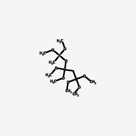 CO[Si](C)(OC)O[Si](C[Si](OC)(OC)OC)(OC)OC